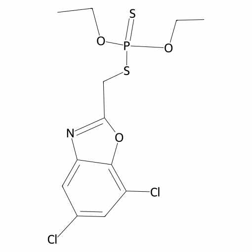 CCOP(=S)(OCC)SCc1nc2cc(Cl)cc(Cl)c2o1